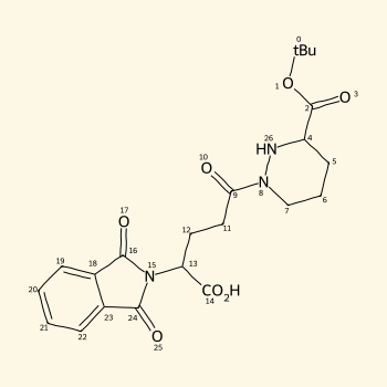 CC(C)(C)OC(=O)C1CCCN(C(=O)CCC(C(=O)O)N2C(=O)c3ccccc3C2=O)N1